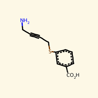 NCC#CCSc1cccc(C(=O)O)c1